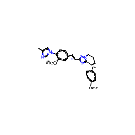 COc1ccc([C@@H]2CCCn3nc(/C=C/c4ccc(-n5cnc(C)c5)c(OC)c4)nc32)cc1